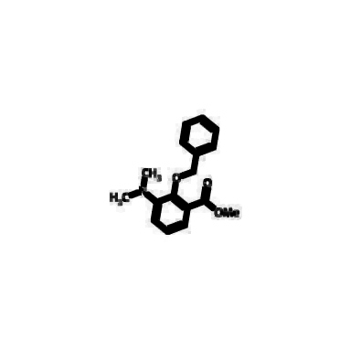 COC(=O)c1cccc(N(C)C)c1OCc1ccccc1